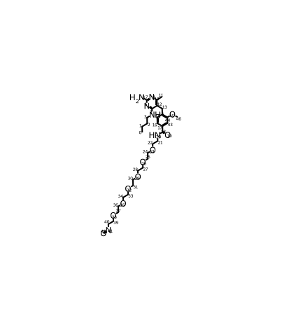 CCCCNc1nc(N)nc(C)c1Cc1ccc(C(=O)NCCOCCOCCOCCOCCOCCOCCN=O)cc1OC